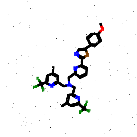 COc1ccc(-c2cnc(-c3cccc(CN(Cc4cc(C)cc(C(F)(F)F)n4)Cc4cc(C)cc(C(F)(F)F)n4)n3)s2)cc1